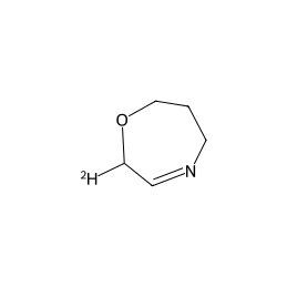 [2H]C1C=NCCCO1